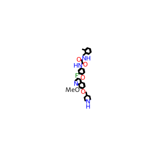 COc1c(OCC2CCNCC2)ccc2c(Oc3ccc(NC(=O)C(=O)NCc4ccccc4C)cc3F)ccnc12